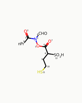 CCCC(=O)N(C=O)OC(=O)C(CCS)S(=O)(=O)O